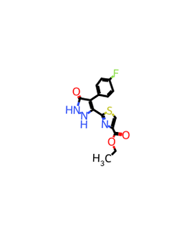 CCOC(=O)c1csc(-c2[nH][nH]c(=O)c2-c2ccc(F)cc2)n1